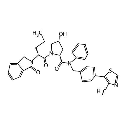 CCC[C@@H](C(=O)N1C[C@H](O)C[C@H]1C(=O)N(Cc1ccc(-c2scnc2C)cc1)c1ccccc1)N1Cc2ccccc2C1=O